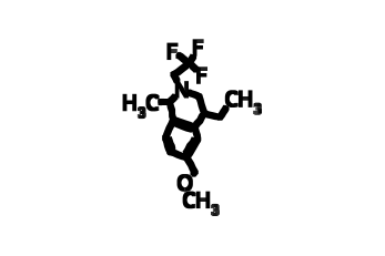 CCC1CN(CC(F)(F)F)C(C)c2ccc(COC)cc21